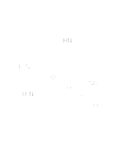 CS(=O)(=O)NC1CCNCC1.NC(N)=O